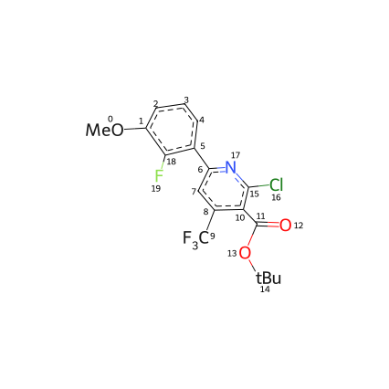 COc1cccc(-c2cc(C(F)(F)F)c(C(=O)OC(C)(C)C)c(Cl)n2)c1F